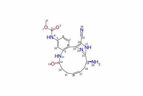 COC(=O)Nc1ccc2c(c1)NC(=O)CCC=CC[C@H](N)c1nc-2c(C#N)[nH]1